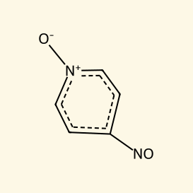 O=Nc1cc[n+]([O-])cc1